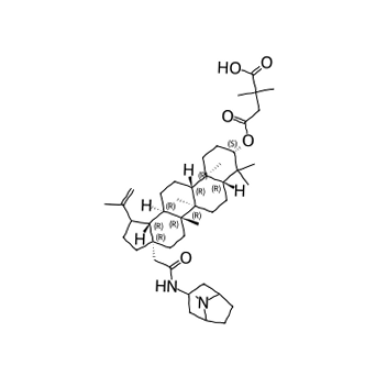 C=C(C)C1CC[C@]2(CC(=O)NC3CC4CCC(C3)N4C)CC[C@]3(C)[C@H](CC[C@@H]4[C@@]5(C)CC[C@H](OC(=O)CC(C)(C)C(=O)O)C(C)(C)[C@@H]5CC[C@]43C)[C@@H]12